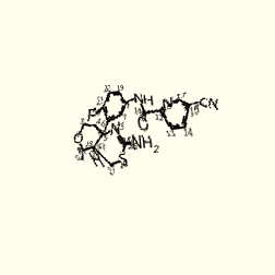 C[C@H]1OCC[C@]2(c3cc(NC(=O)c4ccc(C#N)cn4)ccc3F)N=C(N)SC[C@H]12